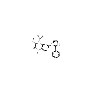 CCC1C(=O)N(C)c2cnc(-n3ccnc3-c3ccccc3)nc2N1C1COC1